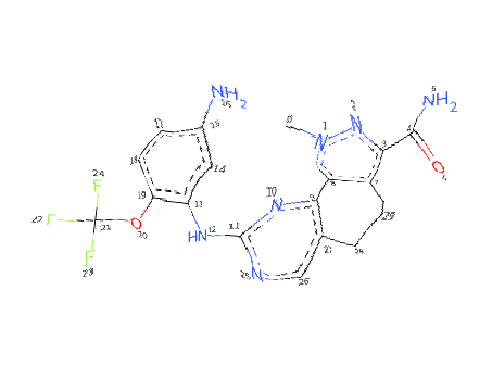 Cn1nc(C(N)=O)c2c1-c1nc(Nc3cc(N)ccc3OC(F)(F)F)ncc1CC2